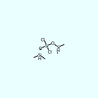 C[SiH](C)O[Si](Cl)(Cl)O[SiH](C)C